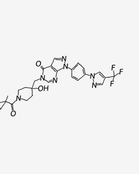 CC1(C(=O)N2CCC(O)(Cn3cnc4c(cnn4-c4ccc(-n5cc(C(F)(F)F)cn5)cc4)c3=O)CC2)CC1